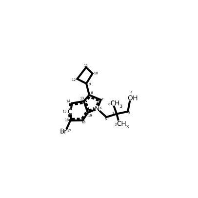 CC(C)(CO)Cn1cc(C2CCC2)c2ccc(Br)cc21